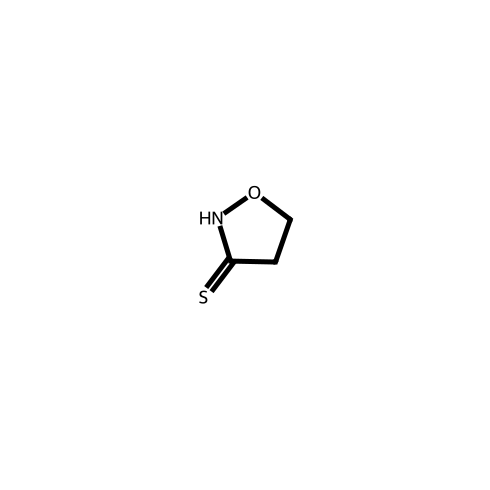 S=C1CCON1